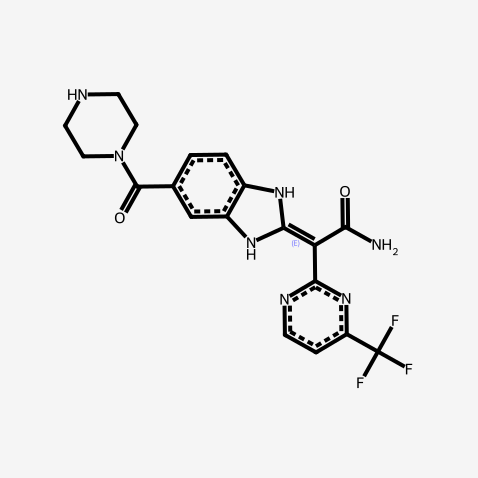 NC(=O)/C(=C1\Nc2ccc(C(=O)N3CCNCC3)cc2N1)c1nccc(C(F)(F)F)n1